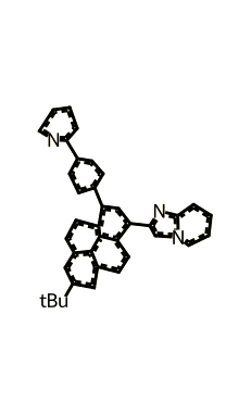 CC(C)(C)c1cc2ccc3c(-c4ccc(-c5ccccn5)cc4)cc(-c4cn5ccccc5n4)c4ccc(c1)c2c34